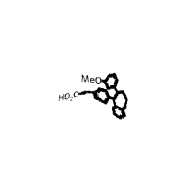 COc1cccc(C2=C(c3ccc(/C=C/C(=O)O)cc3)c3ccccc3CCC2)c1